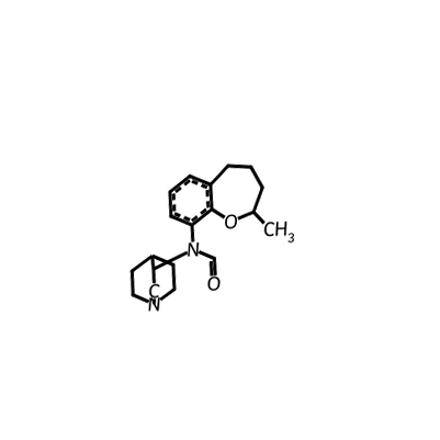 CC1CCCc2cccc(N(C=O)C3CN4CCC3CC4)c2O1